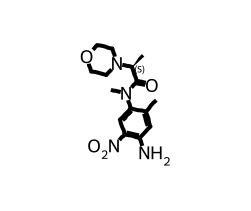 Cc1cc(N)c([N+](=O)[O-])cc1N(C)C(=O)[C@H](C)N1CCOCC1